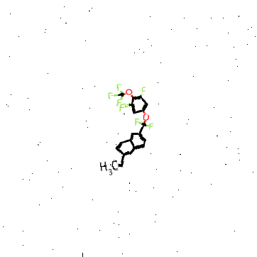 CCc1ccc2cc(C(F)(F)Oc3cc(F)c(OC(F)(F)F)c(F)c3)ccc2c1